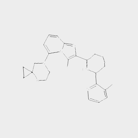 Clc1cccnc1C1CCCC(c2nc3cccc(N4CCNC5(CC5)C4)n3c2Cl)N1